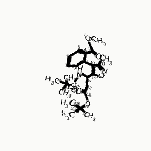 COC(=O)c1ccccc1-c1c(C)noc1C(CC(=O)OC(C)(C)C)N[S@@+]([O-])C(C)(C)C